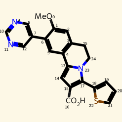 COc1cc2c(cc1-c1cncnc1)-c1cc(C(=O)O)c(-c3cccs3)n1CC2